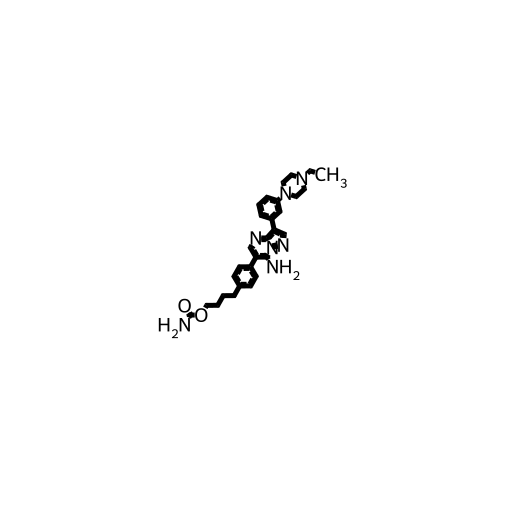 CCN1CCN(c2cccc(-c3cnn4c(N)c(-c5ccc(CCCCOC(N)=O)cc5)cnc34)c2)CC1